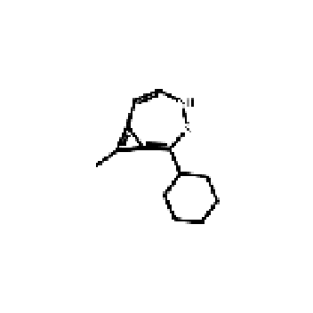 Cc1c2cc[nH]sc(C3CCCCC3)c1-2